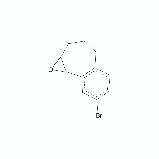 Brc1ccc2c(c1)C1OC1CCC2